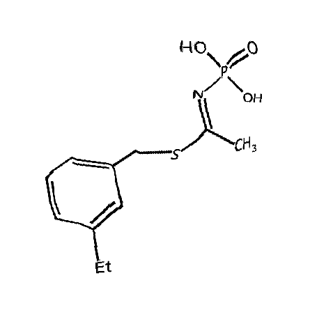 CCc1cccc(CSC(C)=NP(=O)(O)O)c1